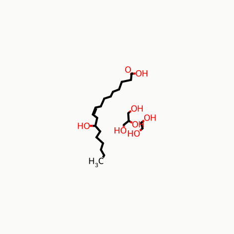 CCCCCCC(O)C/C=C\CCCCCCCC(=O)O.OCC(O)CO.OCCO